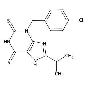 CC(C)c1nc2c([nH]1)c(=S)[nH]c(=S)n2Cc1ccc(Cl)cc1